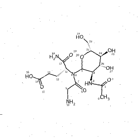 CC(=O)N[C@H]1C(N(C(=O)CN)[C@H](CCC(=O)O)C(N)=O)O[C@H](CO)[C@@H](O)[C@@H]1O